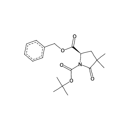 CC(C)(C)OC(=O)N1C(=O)C(C)(C)C[C@@H]1C(=O)OCc1ccccc1